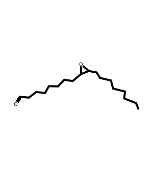 CCCCCCCCC1OC1CCCCCCCC=O